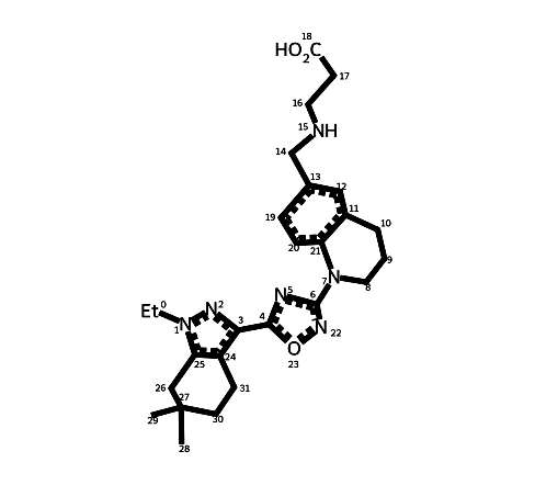 CCn1nc(-c2nc(N3CCCc4cc(CNCCC(=O)O)ccc43)no2)c2c1CC(C)(C)CC2